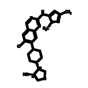 Cc1cc(Nc2ncc3cc(Cl)c(C4CCN([C@H]5COC[C@H]5O)CC4)cc3n2)n(C)n1